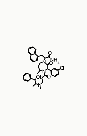 CC(C(O)c1ccccc1)N(C)CCC(=O)N1C(C)CCN(C(Cc2cccc3ccccc23)C(N)=O)C(=O)C1c1cccc(Cl)c1